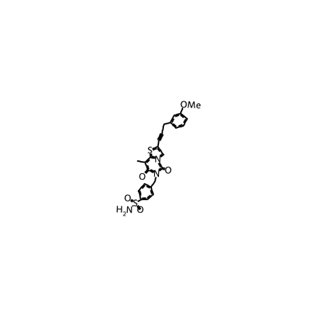 COc1cccc(CC#Cc2cn3c(=O)n(Cc4ccc(S(N)(=O)=O)cc4)c(=O)c(C)c3s2)c1